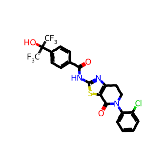 O=C(Nc1nc2c(s1)C(=O)N(c1ccccc1Cl)CC2)c1ccc(C(O)(C(F)(F)F)C(F)(F)F)cc1